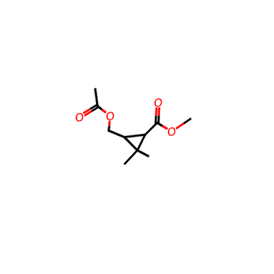 COC(=O)C1C(COC(C)=O)C1(C)C